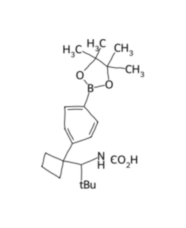 CC(C)(C)C(NC(=O)O)C1(c2ccc(B3OC(C)(C)C(C)(C)O3)cc2)CCC1